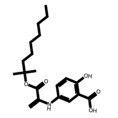 C=C(Nc1ccc(O)c(C(=O)O)c1)C(=O)OC(C)(C)CCCCCCC